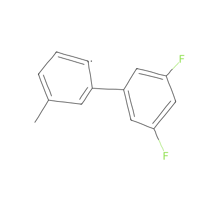 Cc1cc[c]c(-c2cc(F)cc(F)c2)c1